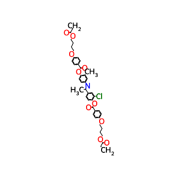 C=CC(=O)OCCCCOc1ccc(C(=O)Oc2ccc(/N=C(\C)c3ccc(OC(=O)c4ccc(OCCCCOC(=O)C=C)cc4)c(Cl)c3)cc2C)cc1